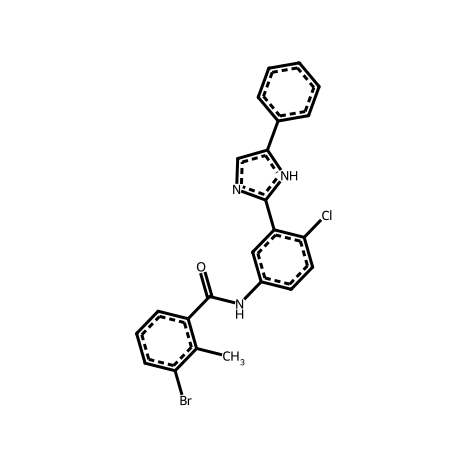 Cc1c(Br)cccc1C(=O)Nc1ccc(Cl)c(-c2ncc(-c3ccccc3)[nH]2)c1